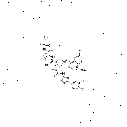 CC[C@@H]1C[C@]1(NC(=O)[C@@H]1C[C@@H](Oc2ncc(OC)c3ccc(Cl)cc23)CN1C(=O)[C@@H](Nc1nc(-c2ccc(Cl)c(Cl)c2)cs1)C(C)(C)C)C(=O)NS(=O)(=O)C1CC1